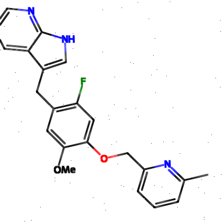 COc1cc(Cc2c[nH]c3ncccc23)c(F)cc1OCc1cccc(C)n1